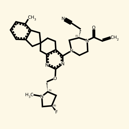 C=CC(=O)N1CCN(c2nc(OC[C@@H]3C[C@@H](F)CN3C)nc3c2CCC2(Cc4cccc(C)c4C2)C3)C[C@@H]1CC#N